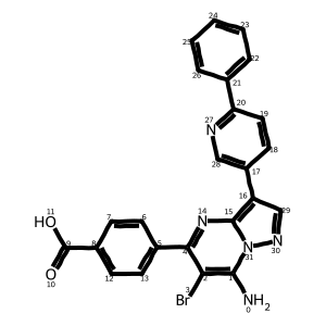 Nc1c(Br)c(-c2ccc(C(=O)O)cc2)nc2c(-c3ccc(-c4ccccc4)nc3)cnn12